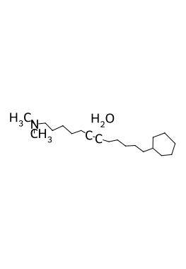 CN(C)CCCCCCCCCCCCC1CCCCC1.O